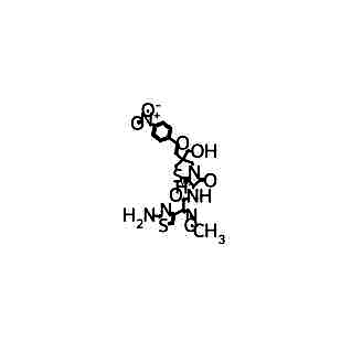 CON=C(C(=O)NC1C(=O)N2CC(C=Cc3ccc([N+](=O)[O-])cc3)(C(=O)O)CS[C@H]12)c1csc(N)n1